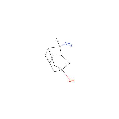 CC1(N)C2CC3CC1CC(O)(C3)C2